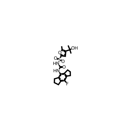 Cc1oc(S(=O)(=O)NC(=O)Nc2c3c(c(F)c4c2CCC4)CCC3)cc1C(C)(C)O